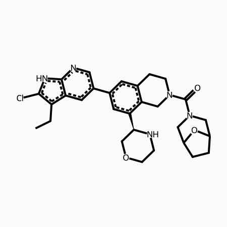 CCc1c(Cl)[nH]c2ncc(-c3cc4c(c([C@@H]5COCCN5)c3)CN(C(=O)N3CC5CCC(C3)O5)CC4)cc12